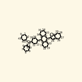 c1ccc([SiH](c2ccccc2)c2ccc(-c3c4ccccc4c(-c4cc5ccccc5o4)c4ccccc34)cc2)cc1